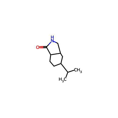 CC(C)C1CCC2C(=O)NCC2C1